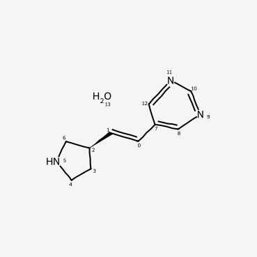 C(=C\[C@H]1CCNC1)/c1cncnc1.O